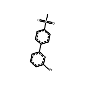 CC(C)c1cccc(-c2ccc(S(C)(=O)=O)cc2)n1